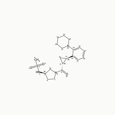 CS(=O)(=O)N[C@@H]1CCN(C(=O)[C@@H]2C[C@H]2c2ccccc2N2CCCCC2)C1